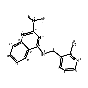 CCc1ncccc1CNc1nc(N(C)C(C)C)nc2ccccc12